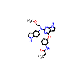 C=CC(=O)Nc1cccc(Oc2nc(N(CCOC)c3ccc4c(c3)CCN4)nc3[nH]ccc23)c1